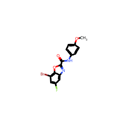 COc1ccc(NC(=O)c2nc3cc(F)cc(Br)c3o2)cc1